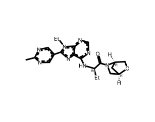 CC[C@@H](Nc1ncnc2c1nc(-c1cnc(C)nc1)n2CC)C(=O)N1C[C@H]2C[C@@H]1CO2